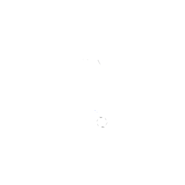 CCCCCCCC/C=C\CCCCCCCCNc1ccccc1C(=O)O